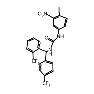 Cc1ccc(NC(=O)NC(c2ccc(C(F)(F)F)cc2)c2ncccc2C(F)(F)F)cc1[N+](=O)[O-]